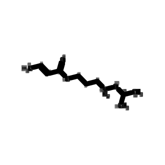 CC=CC(=O)OCCC[SiH2]OC(C)C